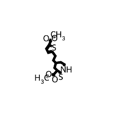 COC(=O)c1ccc(CCC2CCNC(=S)C(C(=O)OC)C2)s1